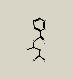 CC(N)OC(C)OC(=O)c1ccccc1